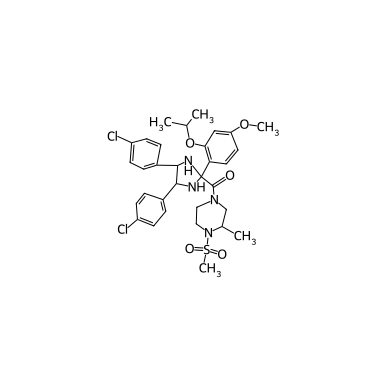 COc1ccc(C2(C(=O)N3CCN(S(C)(=O)=O)C(C)C3)NC(c3ccc(Cl)cc3)C(c3ccc(Cl)cc3)N2)c(OC(C)C)c1